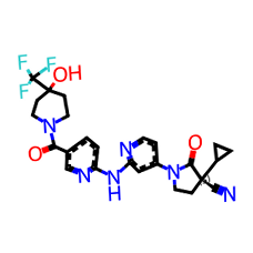 N#C[C@@]1(C2CC2)CCN(c2ccnc(Nc3ccc(C(=O)N4CCC(O)(C(F)(F)F)CC4)cn3)c2)C1=O